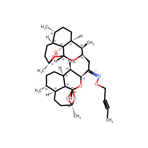 CC#CCO/N=C(/C[C@H]1O[C@@H]2O[C@]3(C)CC[C@H]4[C@H](C)CC[C@@H]([C@H]1C)[C@@]24OO3)[C@H]1O[C@@H]2O[C@]3(C)CC[C@H]4[C@H](C)CC[C@@H]([C@H]1C)[C@@]24OO3